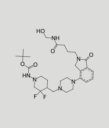 CC(C)(C)OC(=O)NN1CCC(CN2CCN(c3cccc4c3CN(CCCC(=O)NCO)C4=O)CC2)C(F)(F)C1